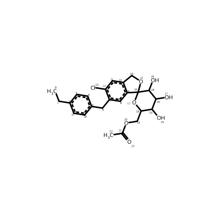 CCc1ccc(Cc2cc3c(cc2Cl)COC32OC(COC(C)=O)C(O)C(O)C2O)cc1